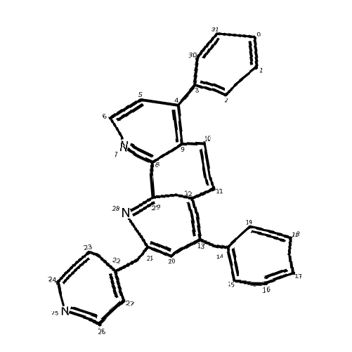 c1ccc(-c2ccnc3c2ccc2c(-c4ccccc4)cc(-c4ccncc4)nc23)cc1